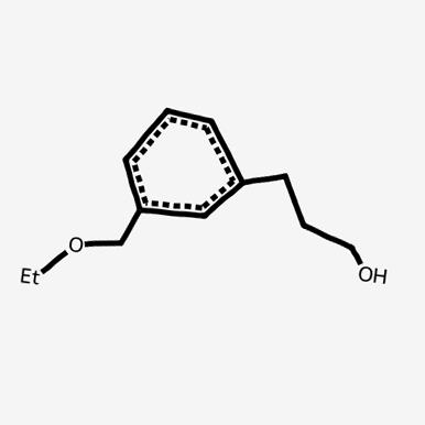 CCOCc1cccc(CCCO)c1